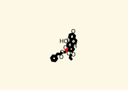 CCC(=O)O[C@]1(C(=O)COC(=O)Cc2ccccc2)CC[C@H]2[C@@H]3CCC4=CC(=O)C=C[C@]4(C)[C@H]3C(O)C[C@@]21C